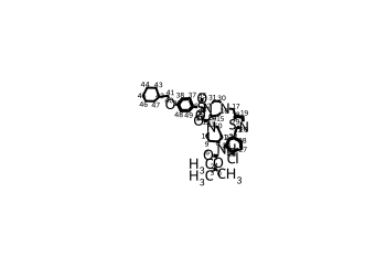 CC(C)(C)OC(=O)NC1CCN(C(=O)[C@@H]2CN(Cc3cnc(-c4ccc(Cl)cc4)s3)CCN2S(=O)(=O)c2ccc(OCC3CCCCC3)cc2)CC1